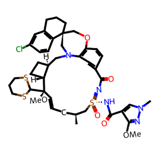 COc1nn(C)cc1C(=O)N[S@@]1(=O)=NC(=O)c2ccc3c(c2)N(C[C@@H]2CC[C@H]2[C@@](OC)(C2SCCCS2)/C=C/C[C@H](C)C1)C[C@@]1(CCCc2cc(Cl)ccc21)CO3